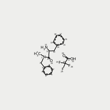 CN(Cc1ccccc1)C(=O)C(N)Cc1ccccc1.O=C(O)C(F)(F)F